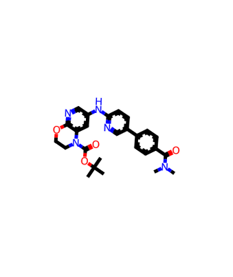 CN(C)C(=O)c1ccc(-c2ccc(Nc3cnc4c(c3)N(C(=O)OC(C)(C)C)CCO4)nc2)cc1